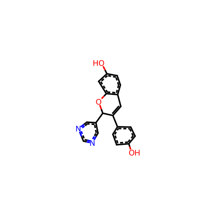 Oc1ccc(C2=Cc3ccc(O)cc3OC2c2cncnc2)cc1